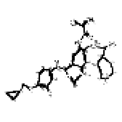 C=C(Cl)C(=O)Nc1cc2c(Nc3ccc(OCC4CC4)c(Cl)c3)ncnc2cc1OC(C)C1CCNCC1